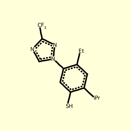 CCc1cc(C(C)C)c(S)cc1-n1cnc(C(F)(F)F)n1